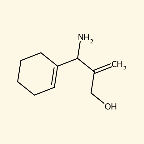 C=C(CO)C(N)C1=CCCCC1